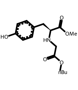 CCCCOC(=O)CN[C@@H](Cc1ccc(O)cc1)C(=O)OC